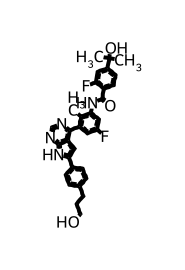 Cc1c(NC(=O)c2ccc(C(C)(C)O)cc2F)cc(F)cc1-c1ncnc2[nH]c(-c3ccc(CCCO)cc3)cc12